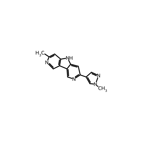 Cc1cc2[nH]c3cc(-c4cnn(C)c4)ncc3c2cn1